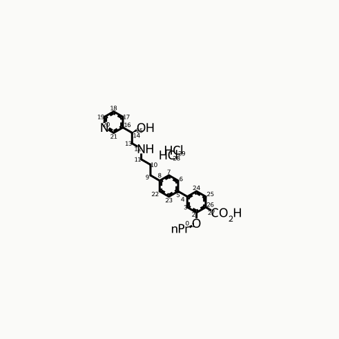 CCCOc1cc(-c2ccc(CCCNC[C@H](O)c3cccnc3)cc2)ccc1C(=O)O.Cl.Cl